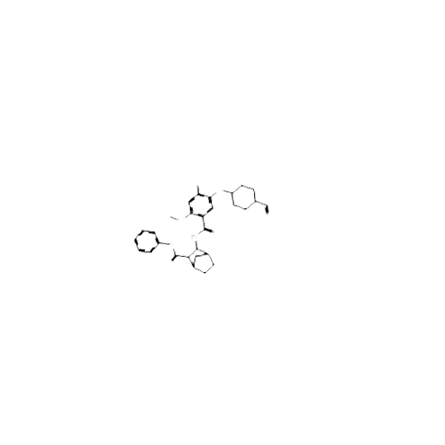 COc1cc(F)c(OC2CCC(C=O)CC2)cc1C(=O)NC1C2CCC(C2)C1C(=O)Nc1ccccc1